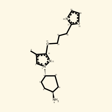 Cc1cn([C@H]2CC[C@H](N)CC2)nc1OCCCc1ncco1